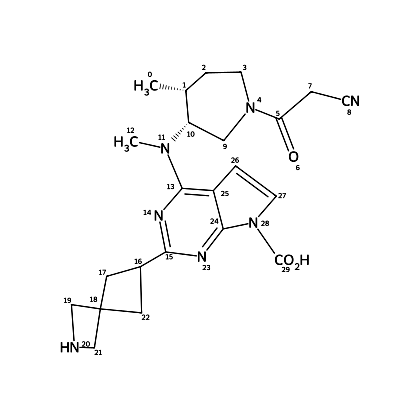 C[C@@H]1CCN(C(=O)CC#N)C[C@@H]1N(C)c1nc(C2CC3(CNC3)C2)nc2c1ccn2C(=O)O